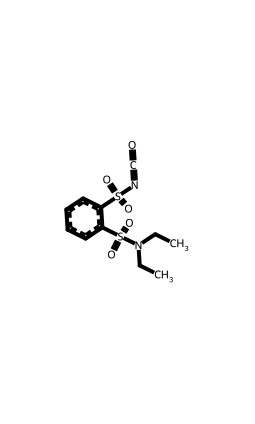 CCN(CC)S(=O)(=O)c1ccccc1S(=O)(=O)N=C=O